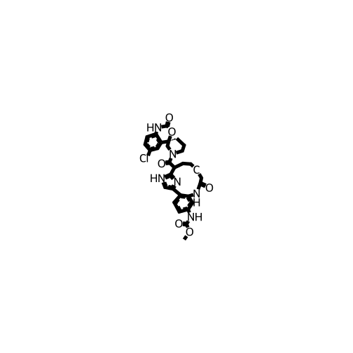 COC(=O)Nc1ccc2c(c1)NC(=O)CCCCC(C(=O)N1CCC[C@@]3(C1)OC(=O)Nc1ccc(Cl)cc13)c1nc-2c[nH]1